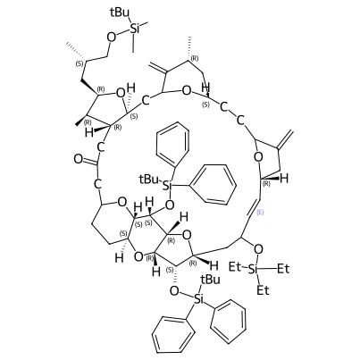 C=C1C[C@@H]2/C=C/C(O[Si](CC)(CC)CC)C[C@H]3O[C@H]4[C@@H](O[Si](c5ccccc5)(c5ccccc5)C(C)(C)C)[C@H]5OC(CC[C@@H]5O[C@H]4[C@H]3O[Si](c3ccccc3)(c3ccccc3)C(C)(C)C)CC(=O)C[C@@H]3[C@@H](C)[C@@H](C[C@H](C)CO[Si](C)(C)C(C)(C)C)O[C@H]3CC3O[C@@H](CCC1O2)C[C@@H](C)C3=C